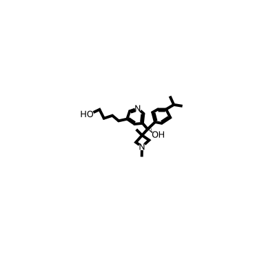 CC(C)c1ccc([C@](O)(c2cncc(CCCCO)c2)C2(C)CN(C)C2)cc1